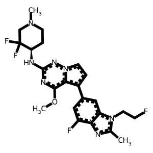 COc1nc(N[C@@H]2CCN(C)CC2(F)F)nn2ccc(-c3cc(F)c4nc(C)n(CCF)c4c3)c12